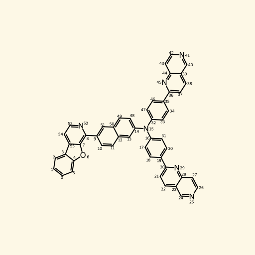 c1ccc2c(c1)oc1c(-c3ccc4cc(N(c5ccc(-c6ccc7cnccc7n6)cc5)c5ccc(-c6ccc7cnccc7n6)cc5)ccc4c3)nccc12